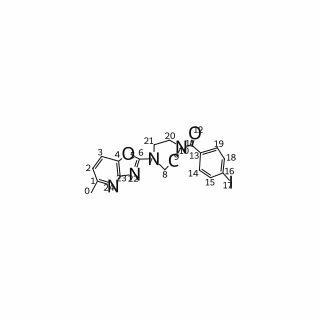 Cc1ccc2oc(N3CCN(C(=O)c4ccc(I)cc4)CC3)nc2n1